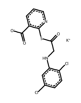 O=C(CNc1cc(Cl)ccc1Cl)Sc1ncccc1C(=O)[O-].[K+]